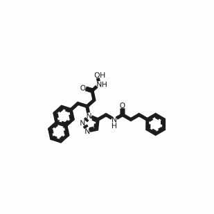 O=C(CC(Cc1ccc2ccccc2c1)n1nncc1CNC(=O)CCc1ccccc1)NO